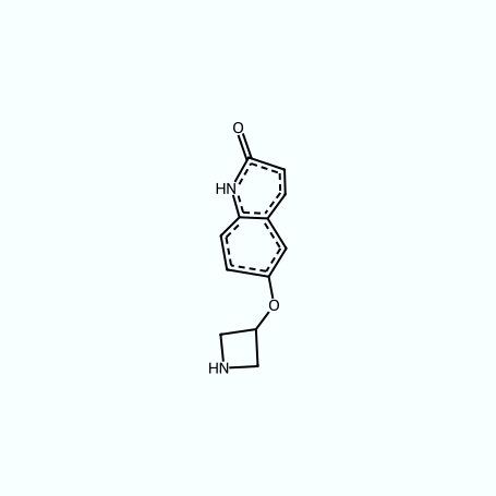 O=c1ccc2cc(OC3CNC3)ccc2[nH]1